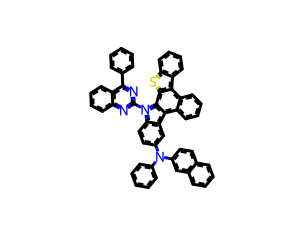 c1ccc(-c2nc(-n3c4ccc(N(c5ccccc5)c5ccc6ccccc6c5)cc4c4c5ccccc5c5c6ccccc6sc5c43)nc3ccccc23)cc1